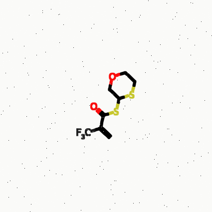 C=C(C(=O)SC1COCCS1)C(F)(F)F